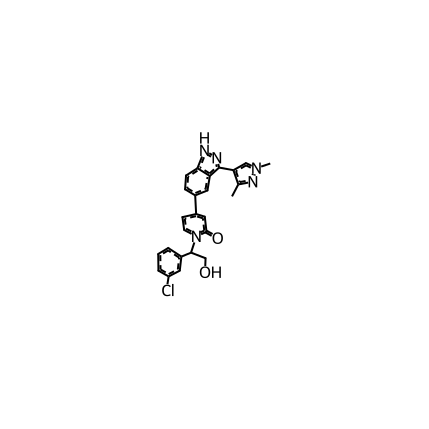 Cc1nn(C)cc1-c1n[nH]c2ccc(-c3ccn(C(CO)c4cccc(Cl)c4)c(=O)c3)cc12